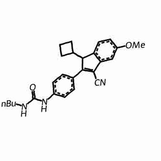 CCCCNC(=O)Nc1ccc(C2=C(C#N)c3cc(OC)ccc3C2C2CCC2)cc1